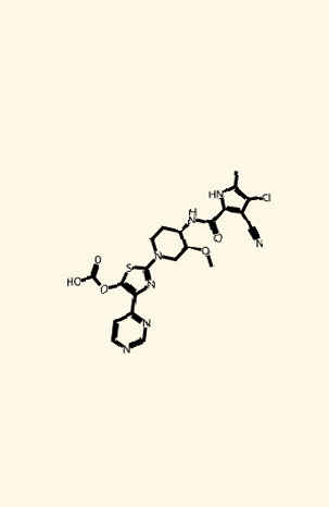 CO[C@H]1CN(c2nc(-c3ccncn3)c(OC(=O)O)s2)CC[C@H]1NC(=O)c1[nH]c(C)c(Cl)c1C#N